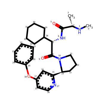 CN[C@@H](C)C(=O)N[C@H](C(=O)N1CCC[C@H]1c1cc(Oc2ccccc2)ccn1)C1CCCCC1